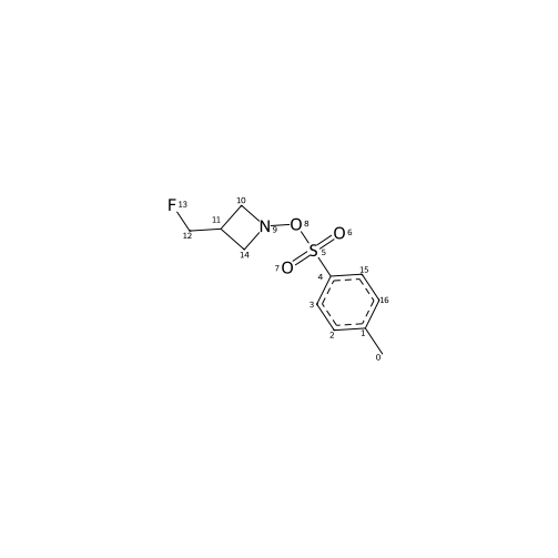 Cc1ccc(S(=O)(=O)ON2CC(CF)C2)cc1